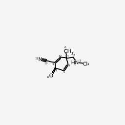 CC1(CNCl)C=CC(=O)C(C#N)=C1